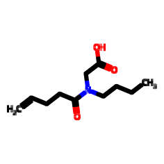 C=CCCC(=O)N(CCCC)CC(=O)O